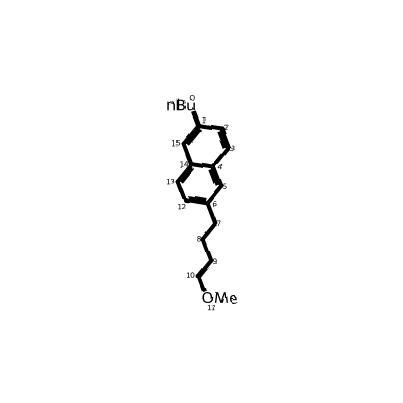 CCCCc1ccc2cc(CCCCOC)ccc2c1